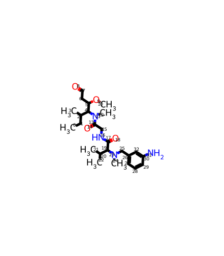 CCC(C)C(C(CC=O)OC)N(C)C(=O)CNC(=O)C(C(C)C)N(C)Cc1cccc(N)c1